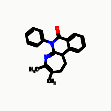 CC1=C(C)N=C2C(CC1)c1ccccc1C(=O)N2c1ccccc1